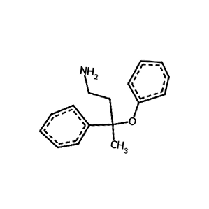 CC(CCN)(Oc1ccccc1)c1ccccc1